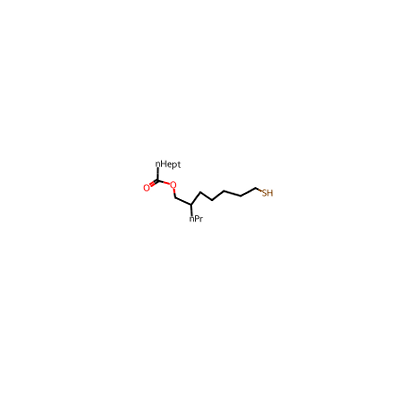 CCCCCCCC(=O)OCC(CCC)CCCCCS